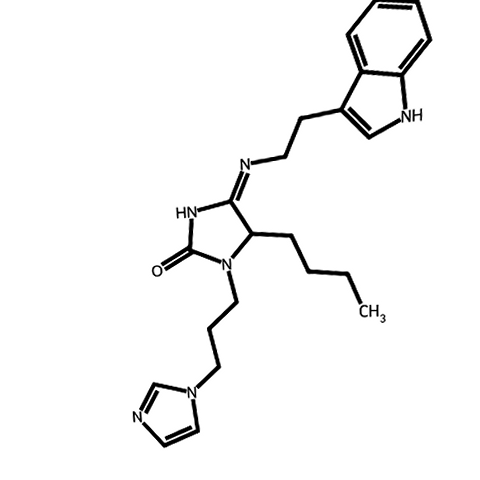 CCCCC1C(=NCCc2c[nH]c3ccccc23)NC(=O)N1CCCn1ccnc1